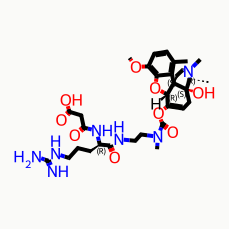 COc1ccc(C)c2c1O[C@H]1C(OC(=O)N(C)CCNC(=O)[C@@H](CCCNC(=N)N)NC(=O)CC(=O)O)=CC[C@@]3(O)[C@@H](C)N(C)CC[C@]213